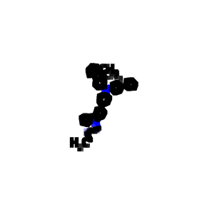 C=C/C=C\C=C/n1c2c(c3ccccc31)=CC(c1ccc(N(c3ccc(-c4ccccc4)cc3)c3ccc4c(c3)C(C)(C)c3ccccc3-4)cc1)CC=2